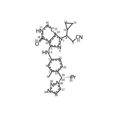 Cc1cc(Nc2nn(C(CC#N)C3CC3)c3cc[nH]c(=O)c23)ccc1[C@H](C(C)C)n1ccnn1